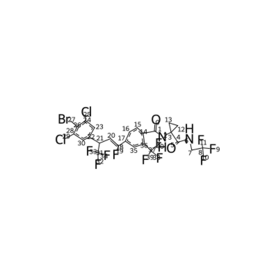 O=C(NC1(C(=O)NCC(F)(F)F)CC1)c1ccc(C(F)=CC(c2cc(Cl)c(Br)c(Cl)c2)C(F)(F)F)cc1C(F)(F)F